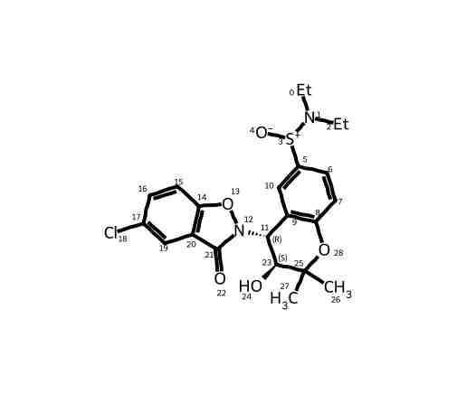 CCN(CC)[S+]([O-])c1ccc2c(c1)[C@@H](n1oc3ccc(Cl)cc3c1=O)[C@H](O)C(C)(C)O2